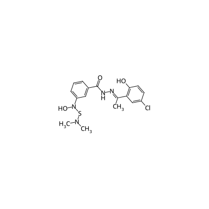 C/C(=N\NC(=O)c1cccc(N(O)SN(C)C)c1)c1cc(Cl)ccc1O